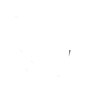 Cc1cc(-n2cc(CN3CCO[C@H](c4ccc5c(c4C)COC5=O)C3)cn2)ncc1C#N